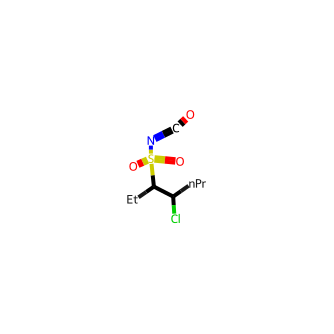 CCCC(Cl)C(CC)S(=O)(=O)N=C=O